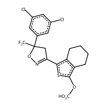 O=C(O)Oc1sc(C2=NOC(c3cc(Cl)cc(Cl)c3)(C(F)(F)F)C2)c2c1CCCC2